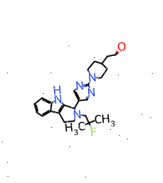 CC(C)(F)CN1CCc2c([nH]c3ccccc23)C1c1cnc(N2CCC(CC=O)CC2)nc1